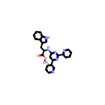 COC(=O)C(Cc1c[nH]c2ccccc12)Nc1cc(-c2cccnc2)nc(-c2ccccn2)n1